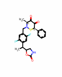 CC(c1cc(F)c(CN2S[C@H](c3ccccc3)C(=O)C(=O)[C@@H]2C)cc1F)C1CNC(=O)O1